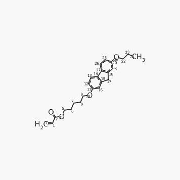 C=CC(=O)OCCCCCOc1ccc2c(c1)Cc1cc(OCCC)ccc1-2